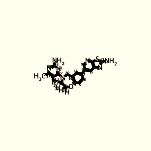 [2H]C1([2H])Oc2ccc(-c3cnc4sc(N)nc4c3)cc2CN(c2nc(N)nc(C)c2C(C)C)C1([2H])[2H]